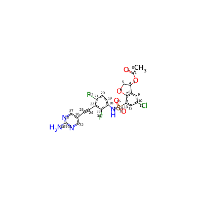 CC(=O)OC1COc2c1cc(Cl)cc2S(=O)(=O)Nc1ccc(F)c(C#Cc2cnc(N)nc2)c1F